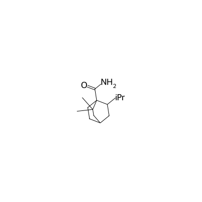 CC(C)C1CC2CCC1(C(N)=O)C(C)(C)C2